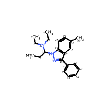 CCC(N(CC)CC)n1nc(-c2ccccc2)c2cc(C)ccc21